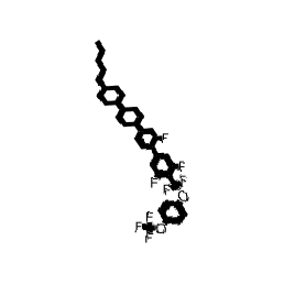 CCCCCC1CCC(C2CCC(c3ccc(-c4cc(F)c(C(F)(F)Oc5ccc(OC(F)(F)F)cc5)c(F)c4)c(F)c3)CC2)CC1